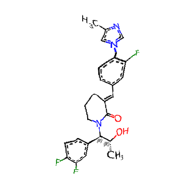 Cc1cn(-c2ccc(C=C3CCCN([C@H](c4ccc(F)c(F)c4)[C@@H](C)O)C3=O)cc2F)cn1